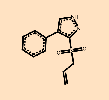 C=CCS(=O)(=O)c1n[nH]cc1-c1ccccc1